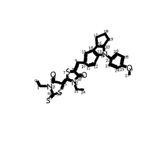 CCN1C(=O)/C(=c2\s/c(=C/c3ccc4c(c3)C3CCCC3N4c3ccc(OC)cc3)c(=O)n2CC)SC1=S